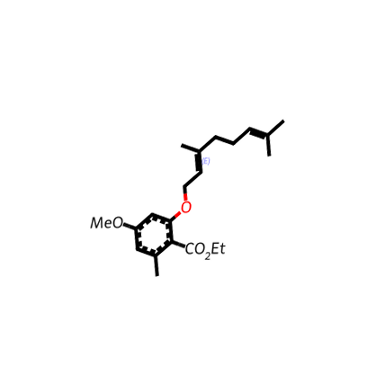 CCOC(=O)c1c(C)cc(OC)cc1OC/C=C(\C)CCC=C(C)C